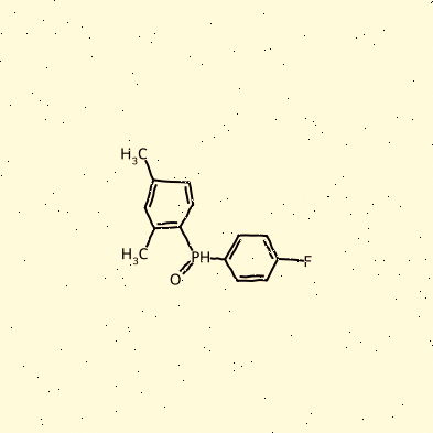 Cc1ccc([PH](=O)c2ccc(F)cc2)c(C)c1